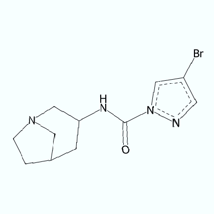 O=C(NC1CC2CCN(C2)C1)n1cc(Br)cn1